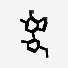 CSc1ccc(F)c(-c2cc(C)[n+](O)c3[nH]ccc23)c1